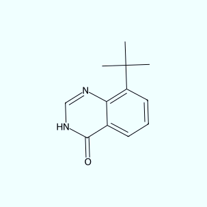 CC(C)(C)c1cccc2c(=O)[nH]cnc12